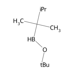 CC(C)C(C)(C)BOC(C)(C)C